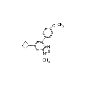 Cn1cnc2c(-c3ccc(OC(F)(F)F)cc3)cc(C3CCC3)cc21